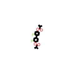 C=C(C)C(=O)Oc1ccc(C2=CC(F)C(OC(=O)C(=C)C)C=C2)c(F)c1